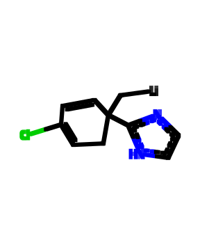 [Li][CH2]C1(c2ncc[nH]2)C=CC(Cl)=CC1